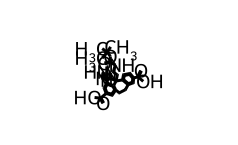 CC(C)(C)OC(=O)NCCC1(c2nn[nH]n2)c2ccc(C(=O)O)cc2CCc2cc(C(=O)O)ccc21